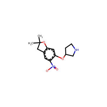 CC1(C)Cc2cc([N+](=O)[O-])c(OC3CCNC3)cc2O1